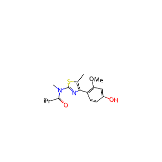 COc1cc(O)ccc1-c1nc(N(C)C(=O)C(C)C)sc1C